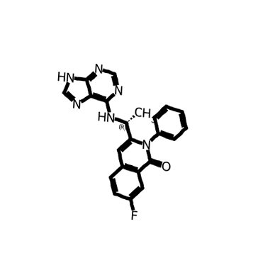 C[C@@H](Nc1ncnc2[nH]cnc12)c1cc2ccc(F)cc2c(=O)n1-c1ccccc1